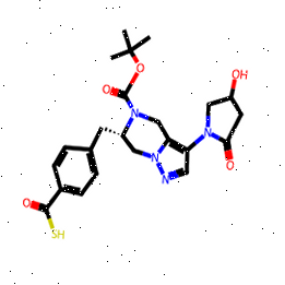 CC(C)(C)OC(=O)N1Cc2c(N3CC(O)CC3=O)cnn2C[C@@H]1Cc1ccc(C(=O)S)cc1